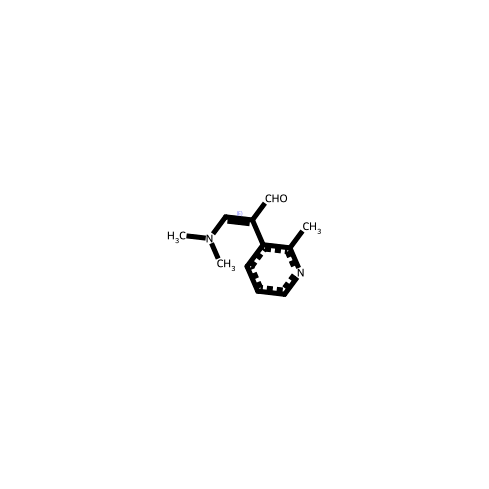 Cc1ncccc1/C(C=O)=C\N(C)C